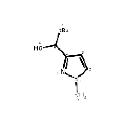 Cn1ccc(C(O)C(C)(C)C)n1